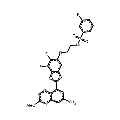 COc1cnc2c(-c3nc4c(F)c(F)c(OCCNS(=O)(=O)c5cccc(F)c5)cc4s3)cc(C)cc2n1